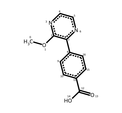 COc1nccnc1-c1ccc(C(=O)O)cc1